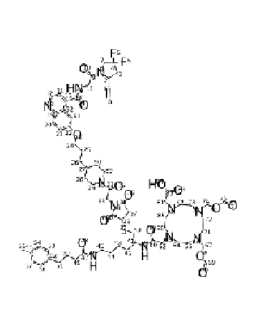 C#C[C@H]1CC(F)(F)CN1C(=O)CNC(=O)c1ccnc2ccc(OCCCC3CCN(C(=O)CN4C(=O)CC(SCC(CCCCNC(=O)CCCc5ccc(C)cc5)NC(=O)CN5CCN(COC=O)CCN(COC=O)CCN(CC(=O)O)CC5)C4=O)CC3)cc12